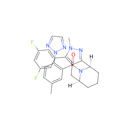 Cc1ccc(-n2nccn2)c(C(=O)N2[C@H]3CCC[C@@H]2c2nn(C)c(-c4cc(F)cc(F)c4)c2C3)c1